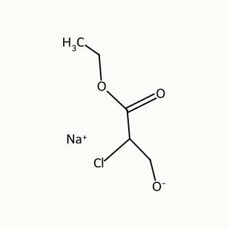 CCOC(=O)C(Cl)C[O-].[Na+]